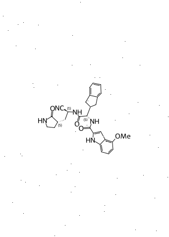 COc1cccc2[nH]c(C(=O)N[C@H](C(=O)N[C@H](C#N)C[C@@H]3CCNC3=O)C3Cc4ccccc4C3)cc12